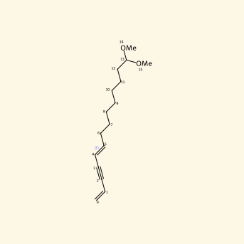 C=CC#C/C=C/CCCCCCCC(OC)OC